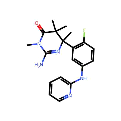 CN1C(=O)C(C)(C)C(C)(c2cc(Nc3ccccn3)ccc2F)N=C1N